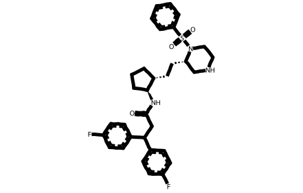 O=C(CC(c1ccc(F)cc1)c1ccc(F)cc1)N[C@H]1CCC[C@@H]1CC[C@H]1CNCCN1S(=O)(=O)c1ccccc1